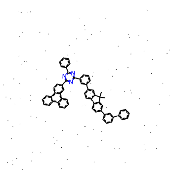 CC1(C)c2cc(-c3cccc(-c4ccccc4)c3)ccc2-c2ccc(-c3cccc(-c4nc(-c5ccccc5)nc(-c5ccc6c7ccccc7c7ccccc7c6c5)n4)c3)cc21